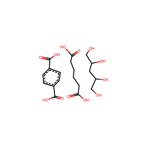 O=C(O)CCCCC(=O)O.O=C(O)c1ccc(C(=O)O)cc1.OCC(O)CC(O)CO